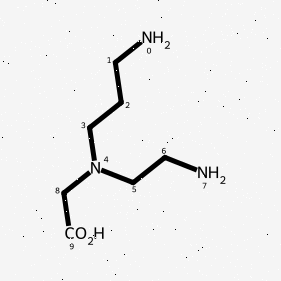 NCCCN(CCN)CC(=O)O